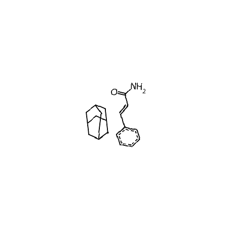 C1C2CC3CC1CC(C2)C3.NC(=O)C=Cc1ccccc1